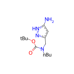 CCCCN(Cc1cc(N)[nH]n1)C(=O)OC(C)(C)C